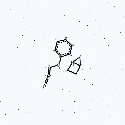 C1CN2CC12.[N-]=[N+]=COc1ccccc1